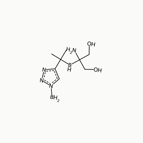 Bn1cc(C(C)(C)BC(N)(CO)CO)nn1